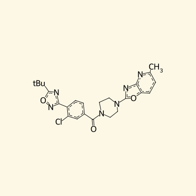 Cc1ccc2oc(N3CCN(C(=O)c4ccc(-c5noc(C(C)(C)C)n5)c(Cl)c4)CC3)nc2n1